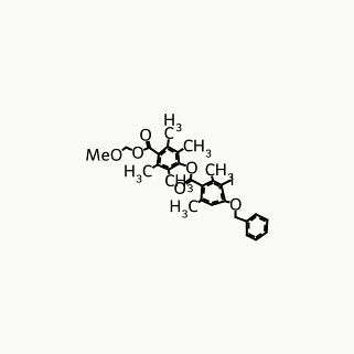 COCOC(=O)c1c(C)c(C)c(OC(=O)c2c(C)cc(OCc3ccccc3)c(I)c2C)c(C)c1C